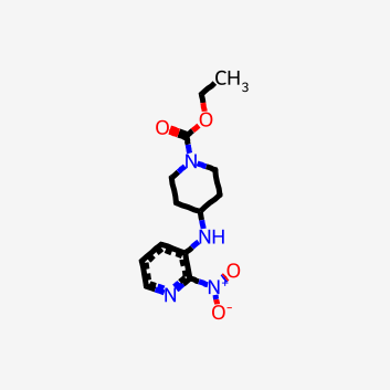 CCOC(=O)N1CCC(Nc2cccnc2[N+](=O)[O-])CC1